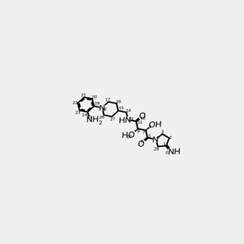 N=C1CCN(C(=O)[C@H](O)[C@@H](O)C(=O)NCC2CCN(c3ccccc3N)CC2)C1